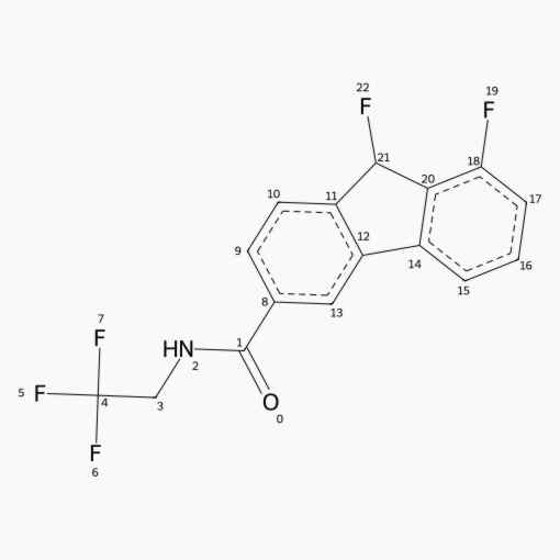 O=C(NCC(F)(F)F)c1ccc2c(c1)-c1cccc(F)c1C2F